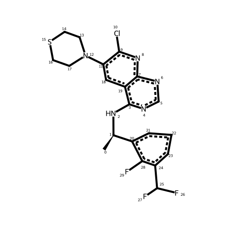 C[C@@H](Nc1ncnc2nc(Cl)c(N3CCSCC3)cc12)c1cccc(C(F)F)c1F